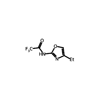 CCc1coc(NC(=O)C(F)(F)F)n1